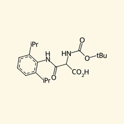 CC(C)c1cccc(C(C)C)c1NC(=O)C(NC(=O)OC(C)(C)C)C(=O)O